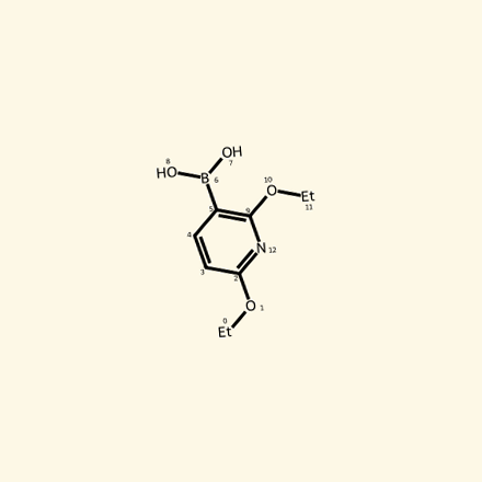 CCOc1ccc(B(O)O)c(OCC)n1